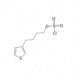 O=S(=O)(Cl)OCCCCc1ccsc1